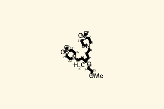 [CH2]C(CCCN1CCS(=O)(=O)CC1)(CCN1CCS(=O)(=O)CC1)OCCOC